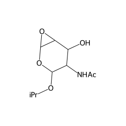 CC(=O)NC1C(OC(C)C)OC2OC2C1O